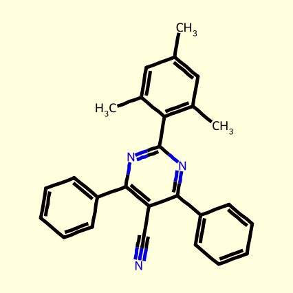 Cc1cc(C)c(-c2nc(-c3ccccc3)c(C#N)c(-c3ccccc3)n2)c(C)c1